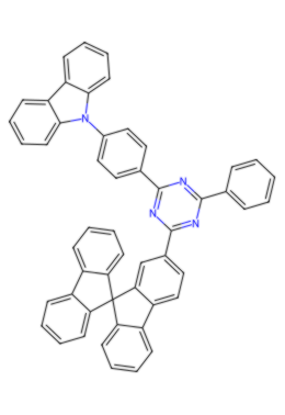 c1ccc(-c2nc(-c3ccc(-n4c5ccccc5c5ccccc54)cc3)nc(-c3ccc4c(c3)C3(c5ccccc5-c5ccccc53)c3ccccc3-4)n2)cc1